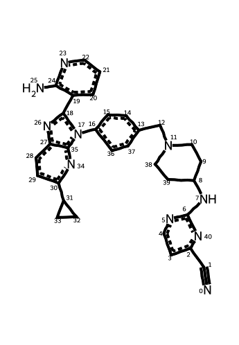 N#Cc1ccnc(NC2CCN(Cc3ccc(-n4c(-c5cccnc5N)nc5ccc(C6CC6)nc54)cc3)CC2)n1